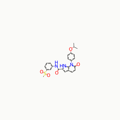 CC(C)Oc1ccc(-n2c(=O)ccc3cc(C(=O)Nc4cccc(S(C)(=O)=O)c4)[nH]c32)cc1